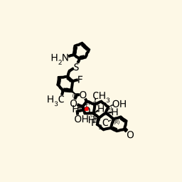 Cc1ccc(CSc2ccccc2N)c(F)c1[C@@H]1O[C@@H]2C[C@H]3[C@@H]4CCC5=CC(=O)C=C[C@]5(C)[C@H]4[C@@H](O)C[C@]3(C)[C@]2(C(=O)CO)O1